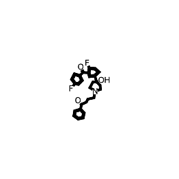 O=C(CCCN1CCC(O)(c2ccc(F)c(C(=O)c3ccc(F)cc3)c2)CC1)c1ccccc1